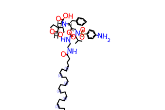 CC/C=C\C/C=C\C/C=C\C/C=C\C/C=C\C/C=C\CCC(=O)NCCNC(=O)O[C@H](CN(CC(C)C)S(=O)(=O)c1ccc(N)cc1)[C@H](Cc1ccccc1)N(C(=O)O)C1CO[C@H]2OCC[C@@H]12